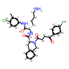 Cc1cc(NC(=O)[C@H](CCCCN)NC(=O)[C@@H]2Cc3ccccc3CN2C(=O)CCC(=O)c2ccc(F)cc2)ccc1Cl